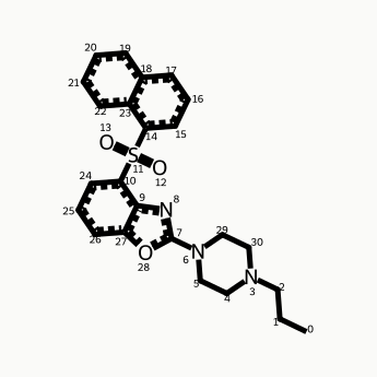 CCCN1CCN(c2nc3c(S(=O)(=O)c4cccc5ccccc45)cccc3o2)CC1